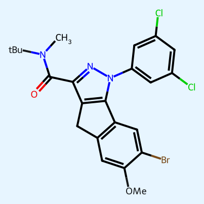 COc1cc2c(cc1Br)-c1c(c(C(=O)N(C)C(C)(C)C)nn1-c1cc(Cl)cc(Cl)c1)C2